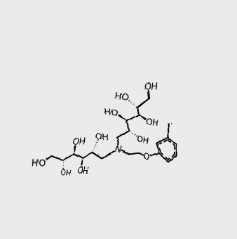 [CH2]c1cccc(OCCN(C[C@@H](O)[C@@H](O)[C@H](O)[C@H](O)CO)C[C@@H](O)[C@@H](O)[C@H](O)[C@H](O)CO)c1